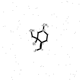 CCC1(CO)CN(C)CCC1=CF